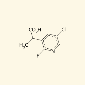 CC(C(=O)O)c1cc(Cl)cnc1F